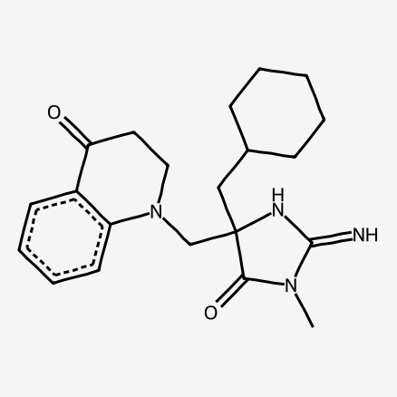 CN1C(=N)NC(CC2CCCCC2)(CN2CCC(=O)c3ccccc32)C1=O